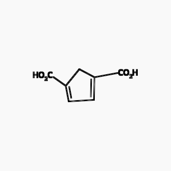 O=C(O)C1=CC=C(C(=O)O)C1